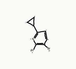 CC(C)c1nc(C2CC2)ccc1Br